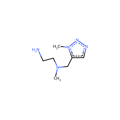 CN(CCN)Cc1cnnn1C